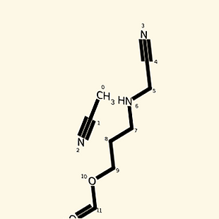 CC#N.N#CCNCCCOC=O